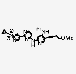 COCCC#Cc1cnc(Nc2ccnc(-c3cnn(S(=O)(=O)C4CC4)c3)n2)cc1NC(C)C